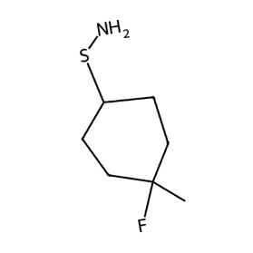 CC1(F)CCC(SN)CC1